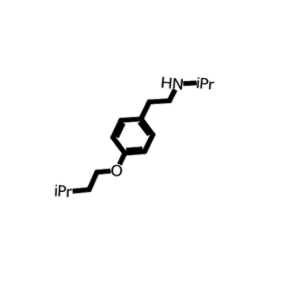 CC(C)CCOc1ccc(CCNC(C)C)cc1